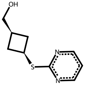 OC[C@H]1C[C@@H](Sc2ncccn2)C1